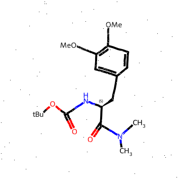 COc1ccc(C[C@H](NC(=O)OC(C)(C)C)C(=O)N(C)C)cc1OC